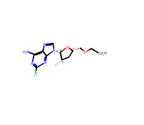 Nc1nc(Cl)nc2c1ncn2[C@@H]1O[C@H](COCC(=O)O)C[C@@H]1F